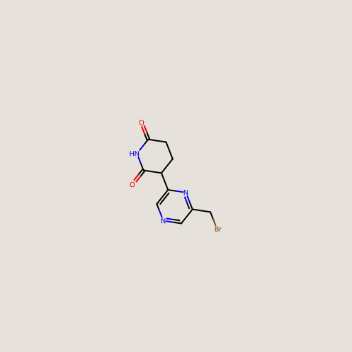 O=C1CCC(c2cncc(CBr)n2)C(=O)N1